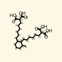 CC1CCCC(CCCCCCC(C(=O)O)C(=O)O)C1CCCCCCC(C(=O)O)C(=O)O